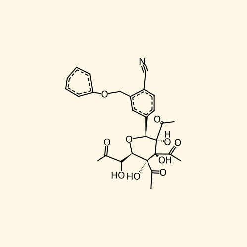 CC(=O)C(O)[C@H]1O[C@@H](c2ccc(C#N)c(COc3ccccc3)c2)[C@@](O)(C(C)=O)[C@](O)(C(C)=O)[C@@]1(O)C(C)=O